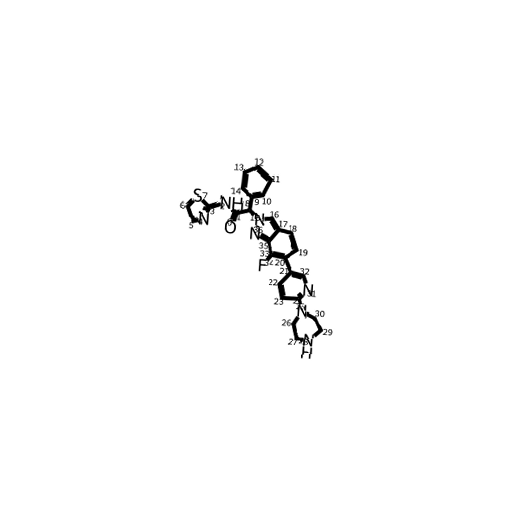 O=C(NC1=NCCS1)C(c1ccccc1)n1cc2ccc(-c3ccc(N4CCNCC4)nc3)c(F)c2n1